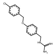 N=C(N)NCc1ccc(OCc2ccc(Cl)cc2)cc1